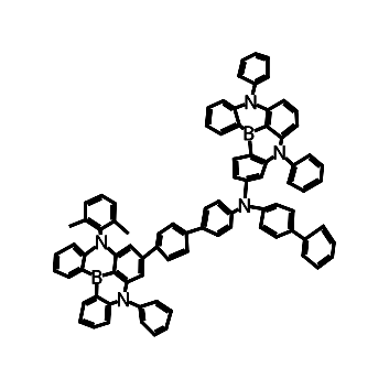 Cc1cccc(C)c1N1c2ccccc2B2c3ccccc3N(c3ccccc3)c3cc(-c4ccc(-c5ccc(N(c6ccc(-c7ccccc7)cc6)c6ccc7c(c6)N(c6ccccc6)c6cccc8c6B7c6ccccc6N8c6ccccc6)cc5)cc4)cc1c32